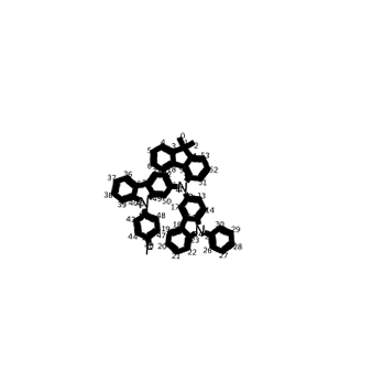 CC1(C)c2ccccc2-c2c(N(c3ccc4c(c3)c3ccccc3n4-c3ccccc3)c3ccc4c5ccccc5n(-c5ccc(F)cc5)c4c3)cccc21